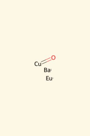 [Ba].[Eu].[O]=[Cu]